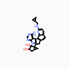 Nc1ncnc2c1ccn2C1(O)C(O)CC2CC21CCc1ccc2ccc(NCC3CC3)nc2c1